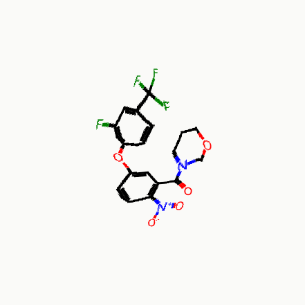 O=C(c1cc(Oc2ccc(C(F)(F)F)cc2F)ccc1[N+](=O)[O-])N1CCCOC1